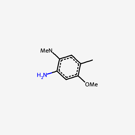 CNc1cc(C)c(OC)cc1N